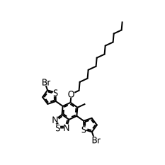 CCCCCCCCCCCCOc1c(C)c(-c2ccc(Br)s2)c2nsnc2c1-c1ccc(Br)s1